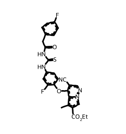 CCOC(=O)c1cn2ncc(C#N)c(Oc3ccc(NC(=S)NC(=O)Cc4ccc(F)cc4)cc3F)c2c1C